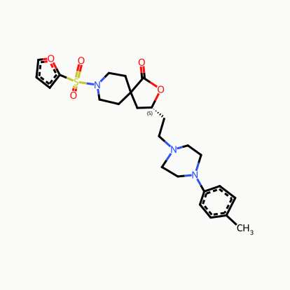 Cc1ccc(N2CCN(CC[C@@H]3CC4(CCN(S(=O)(=O)c5ccco5)CC4)C(=O)O3)CC2)cc1